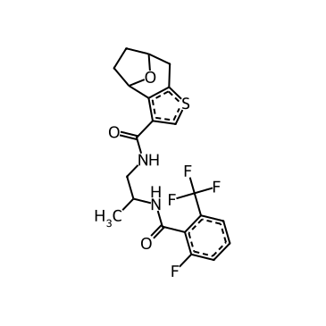 CC(CNC(=O)c1csc2c1C1CCC(C2)O1)NC(=O)c1c(F)cccc1C(F)(F)F